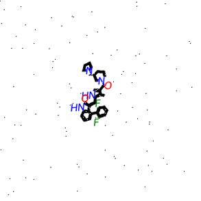 Cc1c(C(=O)N2CCC[C@@H](CN3CCCC3)C2)c[nH]c1/C=C1\C(=O)Nc2cccc(-c3c(F)cccc3F)c21